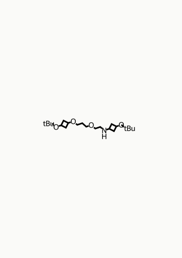 CC(C)(C)OC1CC(NCCOCCCOC2CC(OC(C)(C)C)C2)C1